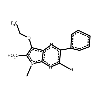 CCc1nc2c(nc1-c1ccccc1)c(OCC(F)(F)F)c(C(=O)O)n2C